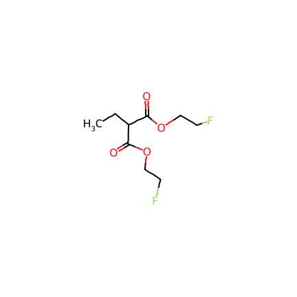 CCC(C(=O)OCCF)C(=O)OCCF